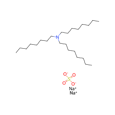 CCCCCCCCN(CCCCCCCC)CCCCCCCC.O=S(=O)([O-])[O-].[Na+].[Na+]